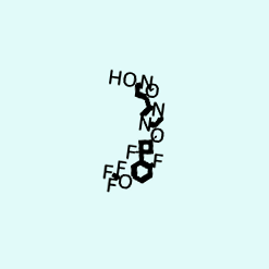 Oc1cc(-c2cnc(O[C@H]3C[C@](F)(c4cc(OC(F)(F)F)ccc4F)C3)cn2)on1